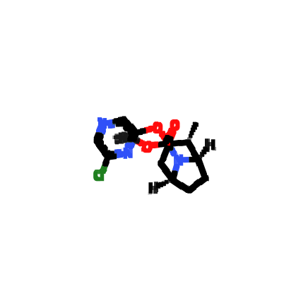 C[C@@H]1[C@H]2CC[C@@H](C[C@H]1Oc1cncc(Cl)n1)N2C(=O)OC(C)(C)C